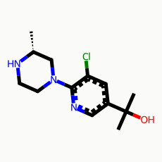 C[C@@H]1CN(c2ncc(C(C)(C)O)cc2Cl)CCN1